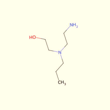 CCCN(CCN)CCO